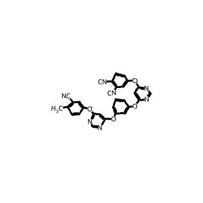 [C-]#[N+]c1ccc(Oc2cc(Oc3cccc(Oc4cc(Oc5ccc(C)c(C#N)c5)ncn4)c3)ncn2)cc1[N+]#[C-]